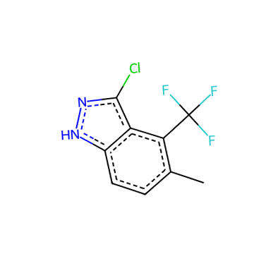 Cc1ccc2[nH]nc(Cl)c2c1C(F)(F)F